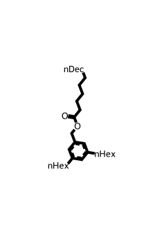 CCCCCCCCCCCCCCCC(=O)OCc1cc(CCCCCC)cc(CCCCCC)c1